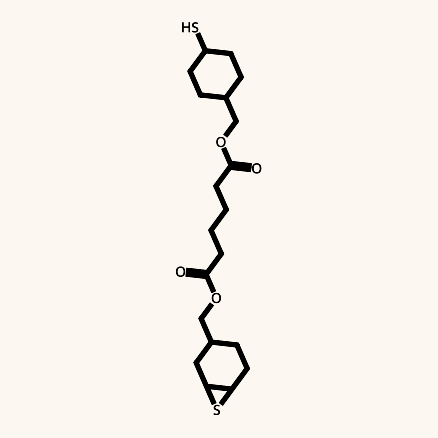 O=C(CCCCC(=O)OCC1CCC2SC2C1)OCC1CCC(S)CC1